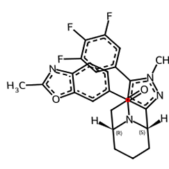 Cc1nc2ccc(C(=O)N3[C@@H]4CCC[C@H]3c3nn(C)c(-c5cc(F)c(F)c(F)c5)c3C4)cc2o1